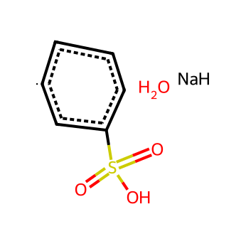 O.O=S(=O)(O)c1c[c]ccc1.[NaH]